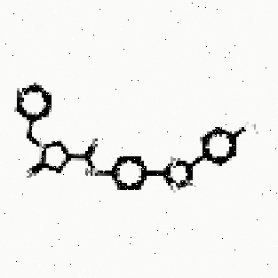 Cc1ccc(-c2noc(-c3ccc(NC(=O)C4CC(=O)N(Cc5cccnc5)C4)cc3)n2)cc1